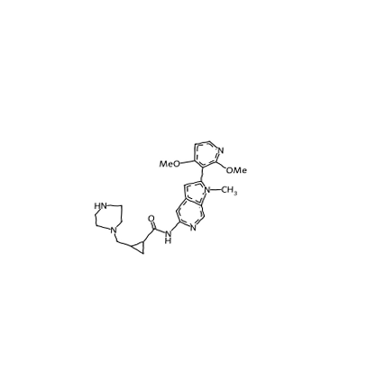 COc1ccnc(OC)c1-c1cc2cc(NC(=O)C3CC3CN3CCNCC3)ncc2n1C